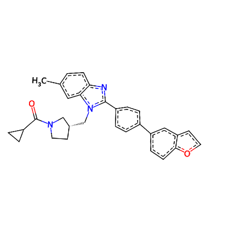 Cc1ccc2nc(-c3ccc(-c4ccc5occc5c4)cc3)n(C[C@@H]3CCN(C(=O)C4CC4)C3)c2c1